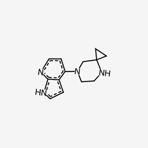 c1cc(N2CCNC3(CC3)C2)c2cc[nH]c2n1